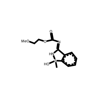 COCCOC(=O)N=C1NS(C)(O)c2ccccc21